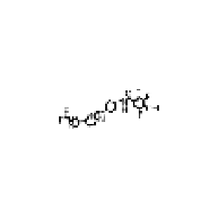 O=C(NC[C@H]1CC[C@H](C2C=[n+]3cc(-c4cnn(C(F)F)c4)ccc3=N2)CC1)c1cc(F)c(O)c(F)c1F